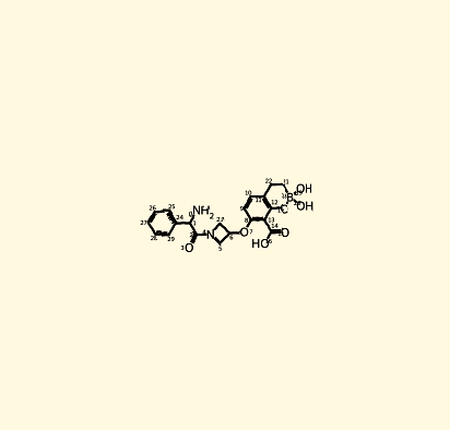 NC(C(=O)N1CC(Oc2ccc3c(c2C(=O)O)O[B-](O)(O)CC3)C1)c1ccccc1